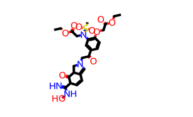 CCOC(=O)COc1ccc(C(=O)CN2C=C3C=CC(C(=N)NO)C(=O)C3C2)cc1N(CC(=O)OCC)S(C)(=O)=O